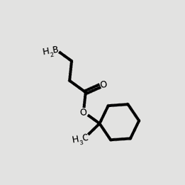 BCCC(=O)OC1(C)CCCCC1